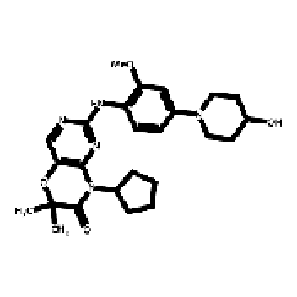 COc1cc(N2CCC(O)CC2)ccc1Nc1ncc2c(n1)N(C1CCCC1)C(=O)C(C)(C)O2